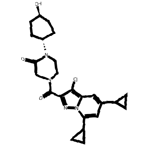 O=C(c1nn2c(C3CC3)cc(C3CC3)cc2c1Cl)N1CCN([C@H]2CC[C@H](O)CC2)C(=O)C1